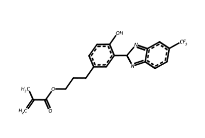 C=C(C)C(=O)OCCCc1ccc(O)c(C2N=c3ccc(C(F)(F)F)cc3=N2)c1